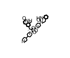 Cc1cc([C@@H](C)C(OC(=O)N2CCC(N3CCc4ccccc4NC3=O)CC2)C(=O)N2CCC(C3CCN(C)CC3)CC2)cc2ccc(=O)[nH]c12